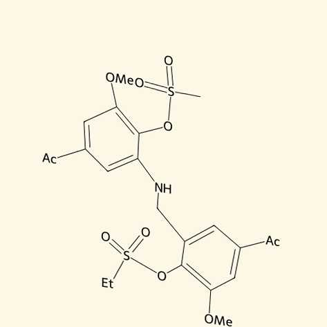 CCS(=O)(=O)Oc1c(CNc2cc(C(C)=O)cc(OC)c2OS(C)(=O)=O)cc(C(C)=O)cc1OC